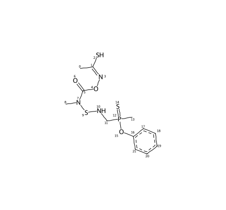 C/C(S)=N\OC(=O)N(C)SNCP(C)(=S)Oc1ccccc1